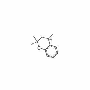 C[C@@H]1CC(C)(C)Oc2ccccc21